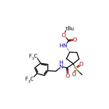 CC(C)(C)OC(=O)N[C@@H]1CCC(C(=O)NCc2cc(C(F)(F)F)cc(C(F)(F)F)c2)(S(C)(=O)=O)C1